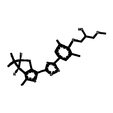 COCC(O)COc1c(C)cc(-c2noc(-c3sc(C)c4c3C[C@@H]3[C@H]4C3(C)C)n2)cc1C